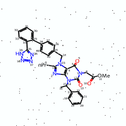 CCCc1nc2c(c(=O)n(CC(=O)OC)c(=O)n2C(C)c2ccccc2)n1Cc1ccc(-c2ccccc2-c2nnn[nH]2)cc1